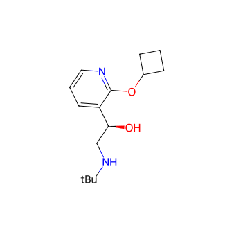 CC(C)(C)NC[C@H](O)c1cccnc1OC1CCC1